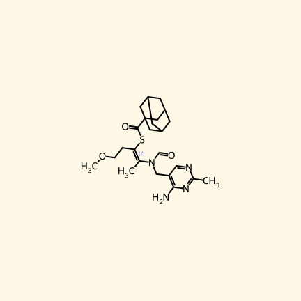 COCC/C(SC(=O)C12CC3CC(CC(C3)C1)C2)=C(\C)N(C=O)Cc1cnc(C)nc1N